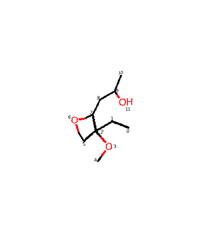 CCC1(OC)COC1CC(C)O